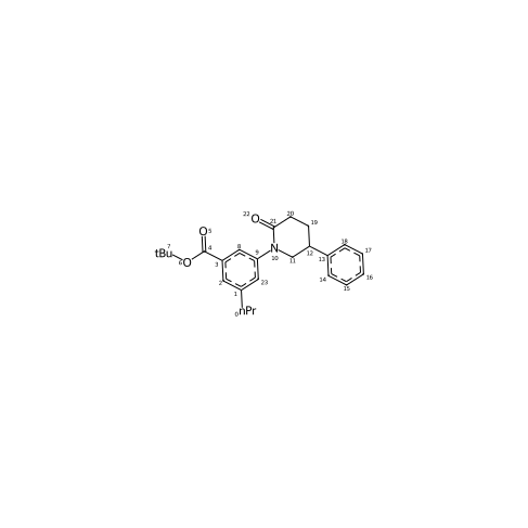 CCCc1cc(C(=O)OC(C)(C)C)cc(N2CC(c3ccccc3)CCC2=O)c1